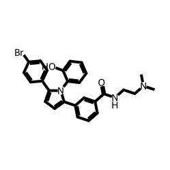 CN(C)CCNC(=O)c1cccc(-c2ccc(-c3ccc(Br)cc3)n2-c2ccccc2O)c1